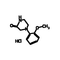 COc1ccccc1N1CCNC(=O)C1.Cl